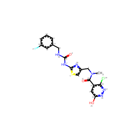 CN(Cc1csc(NC(=O)NCc2cccc(F)c2)n1)C(=O)c1cc(O)nnc1Cl